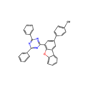 N#Cc1ccc(-c2cc(-c3nc(-c4ccccc4)nc(-c4ccccc4)n3)c3oc4ccccc4c3c2)cc1